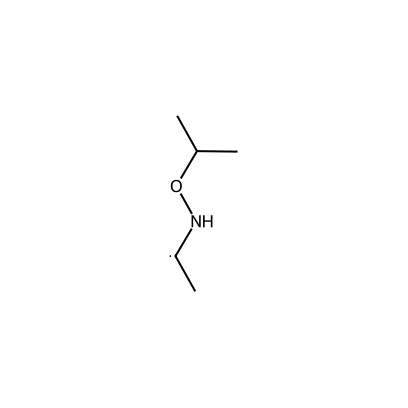 C[CH]NOC(C)C